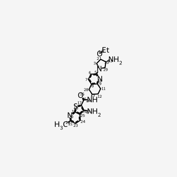 CCO[C@H]1CN(c2ccc3c(n2)CC[C@H](NC(=O)c2sc4nc(C)ccc4c2N)C3)C[C@@H]1N